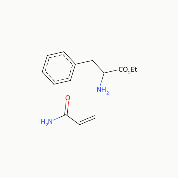 C=CC(N)=O.CCOC(=O)C(N)Cc1ccccc1